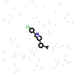 Clc1ccc(-c2cc3cc(-c4cccc([C]5CC5)c4)ccn3n2)cc1